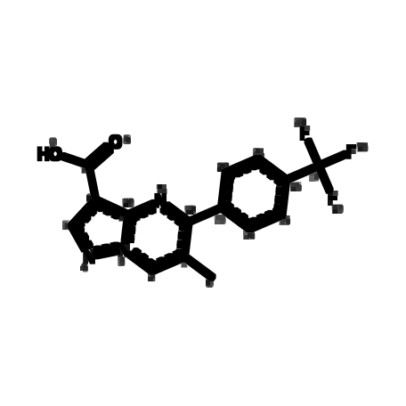 Cc1cn2ncc(C(=O)O)c2nc1-c1ccc(C(F)(F)F)cc1